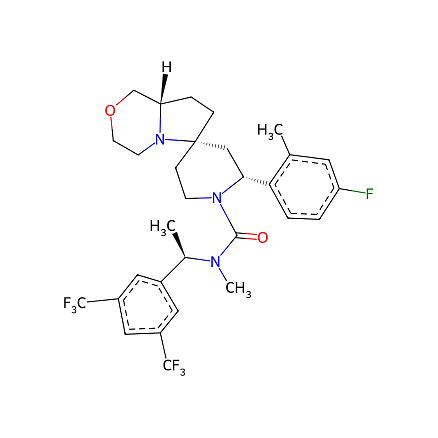 Cc1cc(F)ccc1[C@H]1C[C@]2(CC[C@H]3COCCN32)CCN1C(=O)N(C)[C@H](C)c1cc(C(F)(F)F)cc(C(F)(F)F)c1